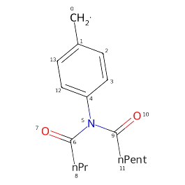 [CH2]c1ccc(N(C(=O)CCC)C(=O)CCCCC)cc1